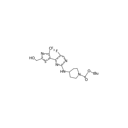 CC(C)(C)OC(=O)N1CCC(Nc2ncc(F)c(-c3sc(CO)nc3C(F)(F)F)n2)CC1